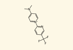 CN(C)c1cc[n+](-c2ccc(C(F)(F)F)cn2)cc1